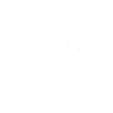 O=C(O)Cn1c(SCCCNC(=O)c2ccccc2)nc2ccccc21